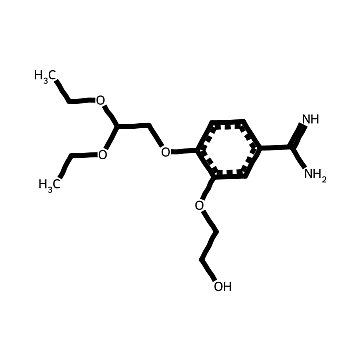 CCOC(COc1ccc(C(=N)N)cc1OCCO)OCC